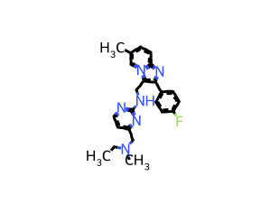 CCN(C)Cc1ccnc(NCc2c(-c3ccc(F)cc3)nc3ccc(C)cn23)n1